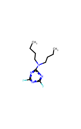 CCCCN(CCCC)c1nc(F)nc(F)n1